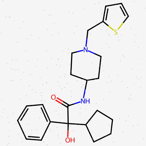 O=C(NC1CCN(Cc2cccs2)CC1)C(O)(c1ccccc1)C1CCCC1